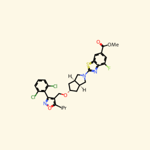 COC(=O)c1cc(F)c2nc(N3C[C@H]4C[C@H](OCc5c(-c6c(Cl)cccc6Cl)noc5C(C)C)C[C@H]4C3)sc2c1